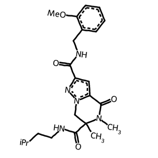 COc1ccccc1CNC(=O)c1cc2n(n1)CC(C)(C(=O)NCCC(C)C)N(C)C2=O